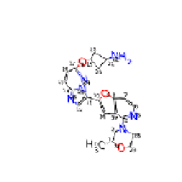 C[C@@H]1CN(c2nccc3oc(-c4cnc5ccc(O[C@H]6C[C@H](N)C6)nn45)cc23)CCO1